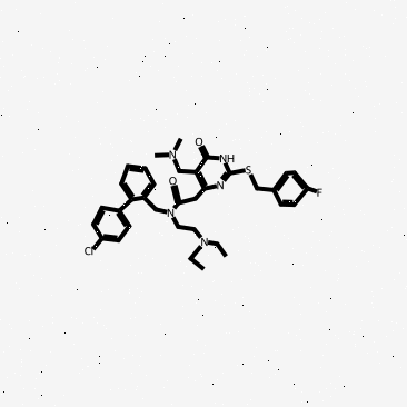 CCN(CC)CCN(Cc1ccccc1-c1ccc(Cl)cc1)C(=O)Cc1nc(SCc2ccc(F)cc2)[nH]c(=O)c1CN(C)C